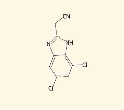 N#CCc1nc2cc(Cl)cc(Cl)c2[nH]1